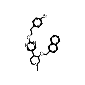 Brc1ccc(CCOc2ncc(C3CCNCC3OCc3ccc4ccccc4c3)cn2)cc1